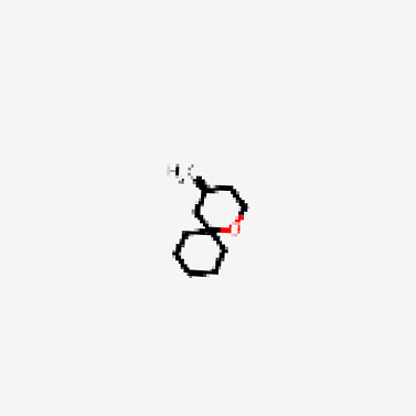 C=C1CCOC2(CCCCC2)C1